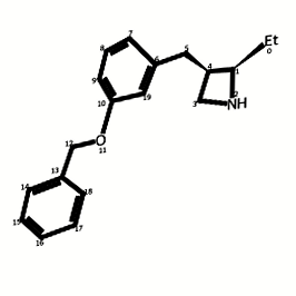 CC[C@H]1NC[C@H]1Cc1cccc(OCc2ccccc2)c1